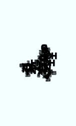 Cc1cc2sc(-c3c(C)nc(N[C@H](C)C4CC4)nc3NC3C[C@H](CS(C)(=O)=O)[C@@H](O)[C@H]3O)nc2c(C)n1